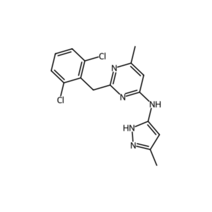 Cc1cc(Nc2cc(C)nc(Cc3c(Cl)cccc3Cl)n2)[nH]n1